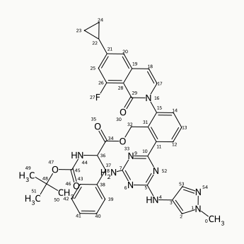 Cn1cc(Nc2nc(N)nc(-c3cccc(-n4ccc5cc(C6CC6)cc(F)c5c4=O)c3COC(=O)C(Cc3ccccc3)NC(=O)OC(C)(C)C)n2)cn1